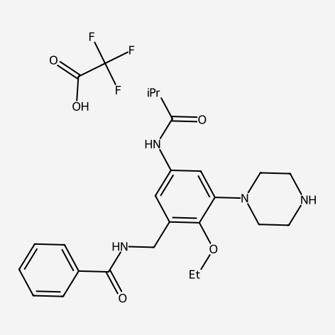 CCOc1c(CNC(=O)c2ccccc2)cc(NC(=O)C(C)C)cc1N1CCNCC1.O=C(O)C(F)(F)F